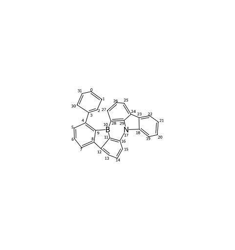 c1ccc(-c2cccc3c2B2c4c-3cccc4-n3c4ccccc4c4cccc2c43)cc1